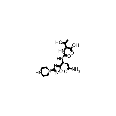 CC(O)C(NC(=O)N[C@@H](CC(N)=O)c1nc(N2CCNCC2)no1)C(=O)O